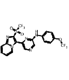 O=S(=O)(c1nc2ccccn2c1-c1cncc(Nc2ccc(OC(F)(F)F)cc2)n1)C(F)(F)F